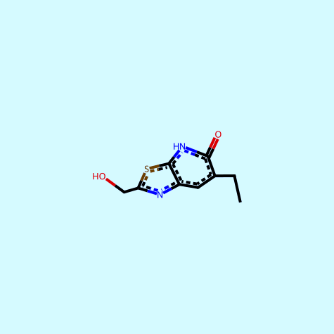 CCc1cc2nc(CO)sc2[nH]c1=O